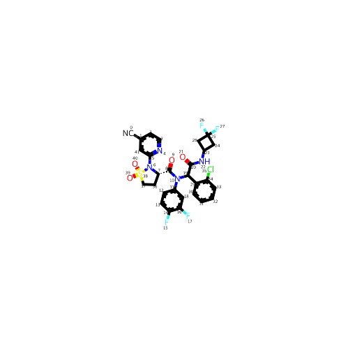 N#Cc1ccnc(N2[C@H](C(=O)N(c3ccc(F)c(F)c3)C(C(=O)NC3CC(F)(F)C3)c3ccccc3Cl)CCS2(=O)=O)c1